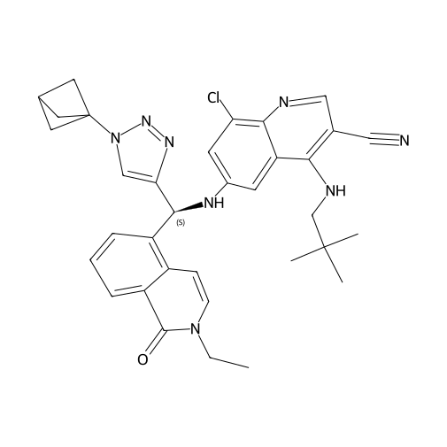 CCn1ccc2c([C@H](Nc3cc(Cl)c4ncc(C#N)c(NCC(C)(C)C)c4c3)c3cn(C45CC(C4)C5)nn3)cccc2c1=O